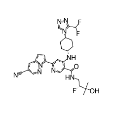 CC(C)(O)[C@H](F)CNC(=O)c1cnc(-c2ccc3cc(C#N)cnn23)cc1N[C@H]1CC[C@H](n2cnnc2C(F)F)CC1